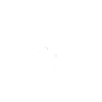 O=C1CC(=O)N2C=Cc3ccccc3C2=N1